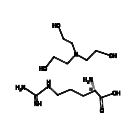 N=C(N)NCCC[C@H](N)C(=O)O.OCCN(CCO)CCO